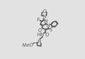 COC[C@@H]1CCCN1CCNC(=O)c1c(=O)c2cc(F)c(N3CCOCC3)nc2n2c1sc1ccccc12